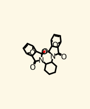 O=C1C2C3C=CC(O3)C2C(=O)N1C1CCCCC1N1C(=O)C2C3C=CC(O3)C2C1=O